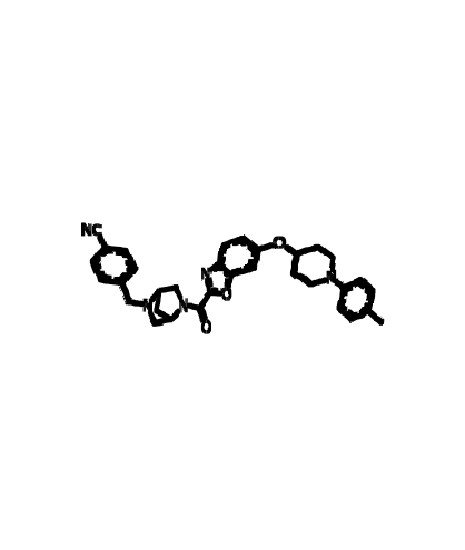 Cc1ccc(N2CCC(Oc3ccc4nc(C(=O)N5CC6CC5CN6Cc5ccc(C#N)cc5)oc4c3)CC2)cc1